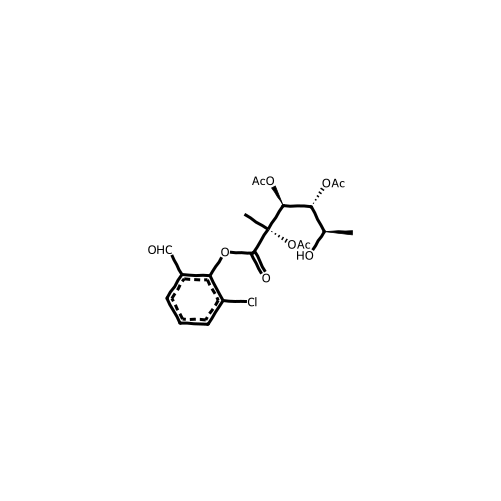 CC(=O)O[C@H]([C@@H](C)O)[C@H](OC(C)=O)[C@@](C)(OC(C)=O)C(=O)Oc1c(Cl)cccc1C=O